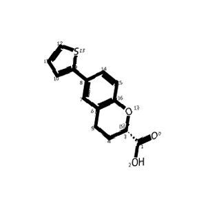 O=C(O)[C@@H]1CCc2cc(-c3cccs3)ccc2O1